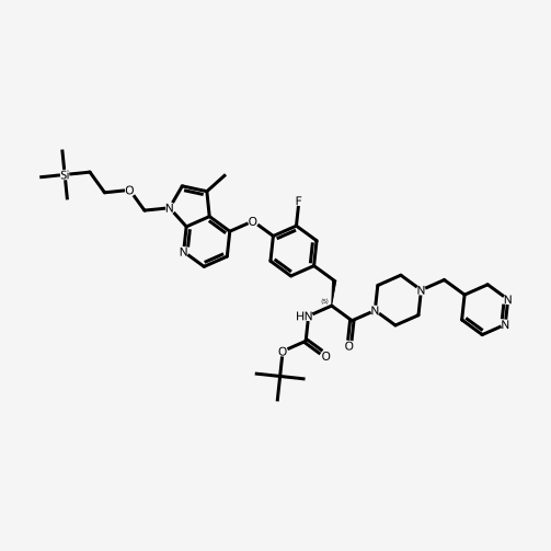 Cc1cn(COCC[Si](C)(C)C)c2nccc(Oc3ccc(C[C@H](NC(=O)OC(C)(C)C)C(=O)N4CCN(CC5C=CN=NC5)CC4)cc3F)c12